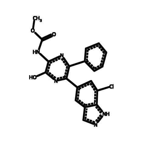 COC(=O)Nc1nc(-c2ccccc2)c(-c2cc(Cl)c3[nH]ncc3c2)nc1O